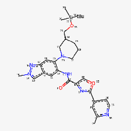 Cc1cc(-c2nc(C(=O)Nc3cc4cn(C)nc4cc3N3CCCC(CO[Si](C)(C)C(C)(C)C)C3)co2)ccn1